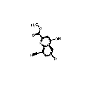 COC(=O)c1cc(O)c2cc(Br)cc(C#N)c2n1